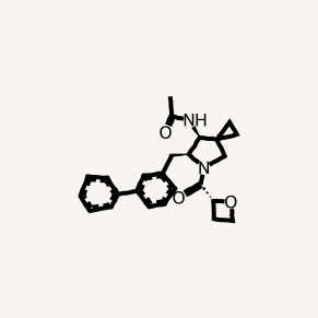 CC(=O)N[C@@H]1[C@H](Cc2cccc(-c3ccccc3)c2)N(C(=O)[C@H]2CCO2)CC12CC2